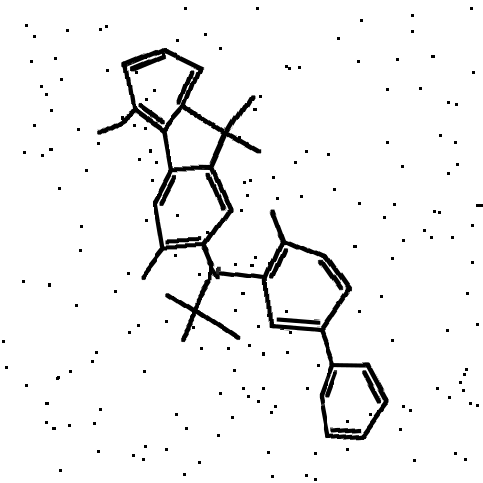 Cc1ccc(-c2ccccc2)cc1N(c1cc2c(cc1C)-c1c(C)cccc1C2(C)C)C(C)(C)C